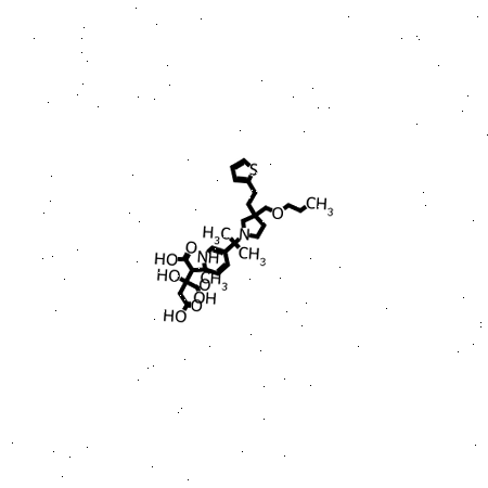 CCCOCC1(CCc2cccs2)CCN(C(C)(C)C2=CN[C@@](C)(C(C(=O)O)C(O)(CC(=O)O)C(=O)O)C=C2)C1